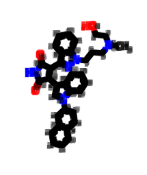 CN(CCO)CCCn1nc(C2=C(c3cn(-c4ccc5ccccc5c4)c4ccccc34)C(=O)NC2=O)c2ccccc21